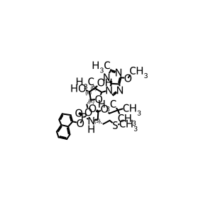 COc1nc(C)nc2c1ncn2C1O[C@H](COP(=O)(N[C@@H](CCSC)C(=O)OCC(C)(C)C)Oc2cccc3ccccc23)[C@@H](O)[C@@]1(C)O